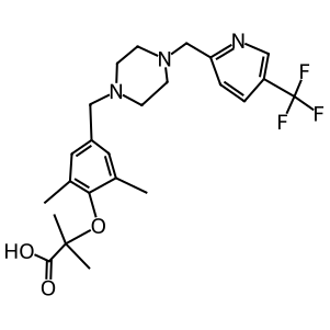 Cc1cc(CN2CCN(Cc3ccc(C(F)(F)F)cn3)CC2)cc(C)c1OC(C)(C)C(=O)O